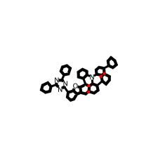 c1ccc(-c2ccc(N(c3ccccc3-c3ccccc3)c3ccccc3-c3cccc4c3oc3c(-c5nc(-c6ccccc6)nc(-c6ccccc6)n5)cccc34)cc2)cc1